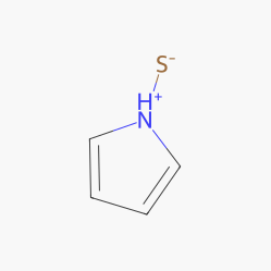 [S-][NH+]1C=CC=C1